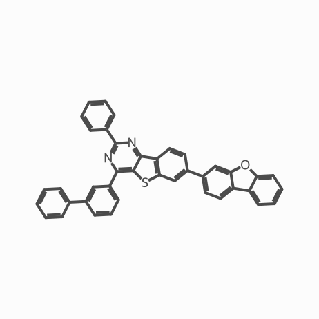 c1ccc(-c2cccc(-c3nc(-c4ccccc4)nc4c3sc3cc(-c5ccc6c(c5)oc5ccccc56)ccc34)c2)cc1